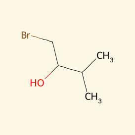 CC(C)C(O)CBr